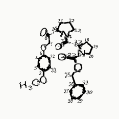 COc1ccc(OCC(=O)[C@@H]2CCCN2C(=O)[C@@H]2CCCN2C(=O)OCc2ccccc2)cc1